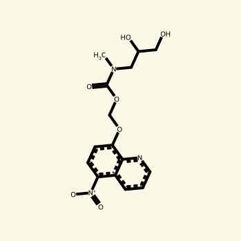 CN(CC(O)CO)C(=O)OCOc1ccc([N+](=O)[O-])c2cccnc12